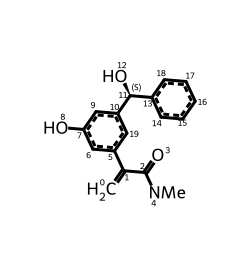 C=C(C(=O)NC)c1cc(O)cc([C@@H](O)c2ccccc2)c1